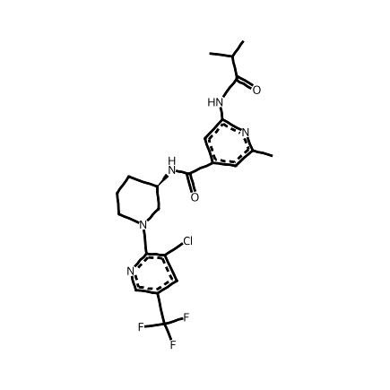 Cc1cc(C(=O)N[C@@H]2CCCN(c3ncc(C(F)(F)F)cc3Cl)C2)cc(NC(=O)C(C)C)n1